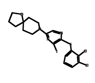 Clc1cccc(Sc2ncc(N3CCC4(CCCO4)CC3)nc2I)c1Cl